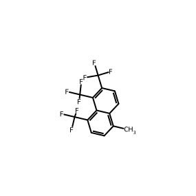 Cc1ccc(C(F)(F)F)c2c(C(F)(F)F)c(C(F)(F)F)ccc12